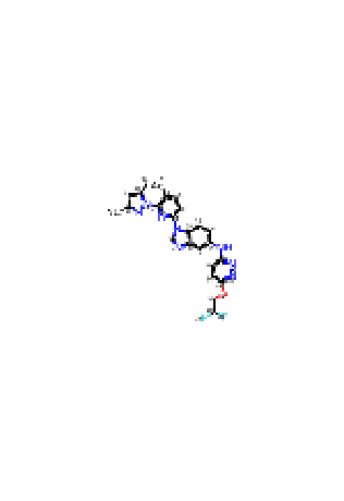 CC(=O)c1ccc(-n2cnc3cc(Nc4ccc(OCC(F)F)nn4)ccc32)nc1-n1nc(C#N)cc1C